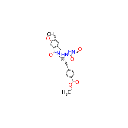 CCOC(=O)c1ccc(C#C[C@H](CN2Cc3ccc(OC)cc3C2=O)NC(=O)NC=O)cc1